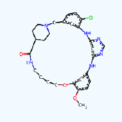 COc1ccc2cc1OCCCCNC(=O)C1CCN(CC1)Cc1ccc(Cl)c(c1)Nc1cc(ncn1)N2